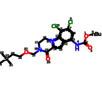 CCCCOC(=O)Nc1cc(Cl)c(Cl)c2c1cc1n2CCN(COCC[Si](C)(C)C)C1=O